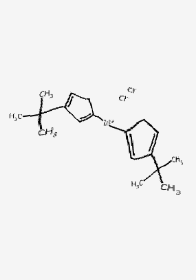 CC(C)(C)C1=CC[C]([Zr+2][C]2=CC(C(C)(C)C)=CC2)=C1.[Cl-].[Cl-]